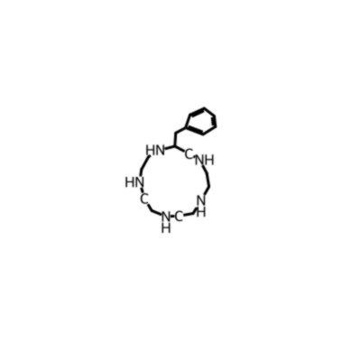 c1ccc(CC2CNCCNCCNCCNCCN2)cc1